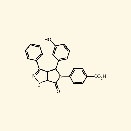 O=C(O)c1ccc(N2C(=O)c3[nH]nc(-c4ccccc4)c3C2c2cccc(O)c2)cc1